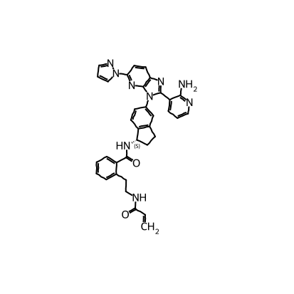 C=CC(=O)NCCc1ccccc1C(=O)N[C@H]1CCc2cc(-n3c(-c4cccnc4N)nc4ccc(-n5cccn5)nc43)ccc21